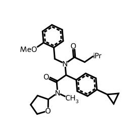 COc1ccccc1CN(C(=O)CC(C)C)C(C(=O)N(C)C1CCCO1)c1ccc(C2CC2)cc1